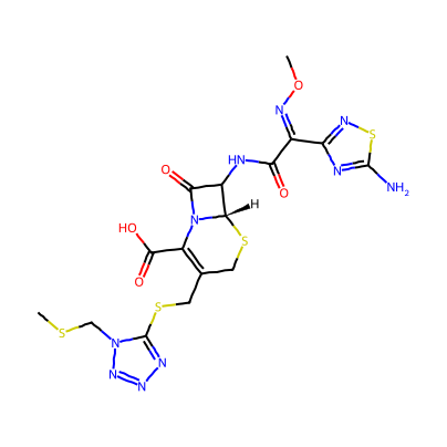 CON=C(C(=O)NC1C(=O)N2C(C(=O)O)=C(CSc3nnnn3CSC)CS[C@@H]12)c1nsc(N)n1